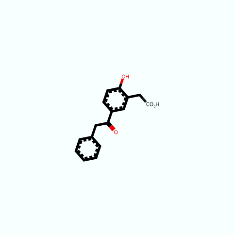 O=C(O)Cc1cc(C(=O)Cc2ccccc2)ccc1O